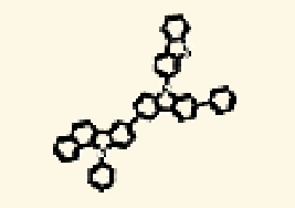 c1ccc(-c2ccc3c4cc(-c5ccc6c(c5)c5ccc7ccccc7c5n6-c5ccccc5)ccc4n(-c4ccc5c(c4)sc4ccccc45)c3c2)cc1